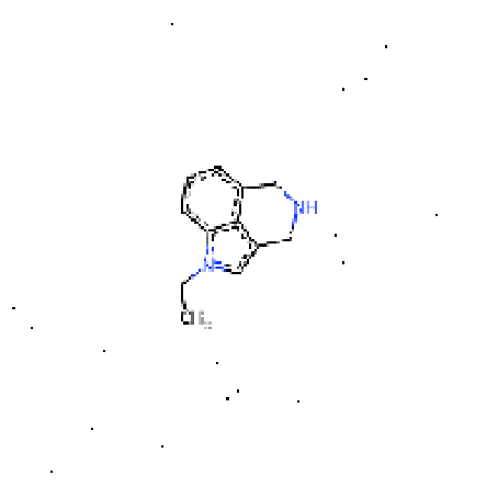 CCn1cc2c3c(cccc31)CNC2